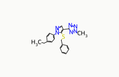 CCc1ccc(-n2ncc(-c3nnn(C)n3)c2SCc2ccccc2)cc1